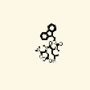 CC(C)CC(C(=O)N(C)[C@@H](CC(=O)O)C(=O)N(C)C)N(C)C(=O)OCC1c2ccccc2-c2ccccc21